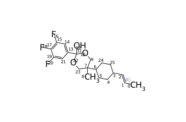 C/C=C/C1CCC(C2(C)COC(O)(c3cc(F)c(F)c(F)c3)OC2)CC1